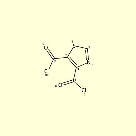 O=C(Cl)c1ncsc1C(=O)Cl